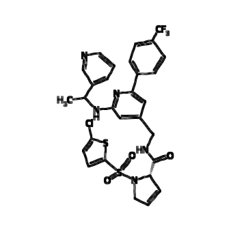 CC(Nc1cc(CNC(=O)[C@@H]2C=CCN2S(=O)(=O)c2ccc(Cl)s2)cc(-c2ccc(C(F)(F)F)cc2)n1)c1cccnc1